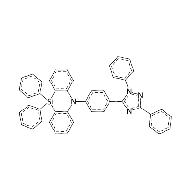 c1ccc(-c2nc(-c3ccc(N4c5ccccc5[Si](c5ccccc5)(c5ccccc5)c5ccccc54)cc3)n(-c3ccccc3)n2)cc1